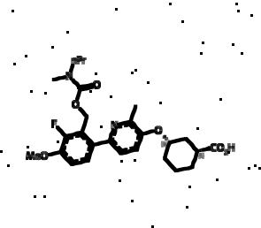 CCCN(C)C(=O)OCc1c(-c2ccc(O[C@H]3CCC[C@H](C(=O)O)C3)c(C)n2)ccc(OC)c1F